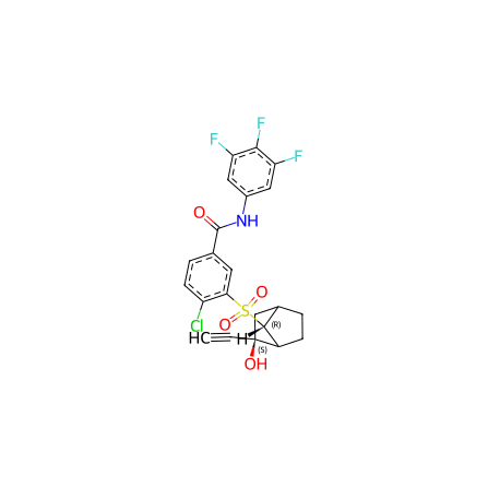 C#C[C@]1(O)CC2CCC1[C@@H]2S(=O)(=O)c1cc(C(=O)Nc2cc(F)c(F)c(F)c2)ccc1Cl